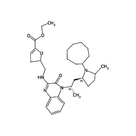 CCOC(=O)C1=CCC(CNc2nc3ccccc3n([C@@H](C)C[C@@H]3CCC(C)N3C3CCCCCCC3)c2=O)O1